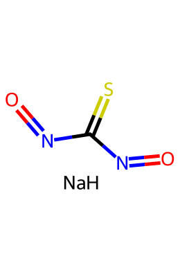 O=NC(=S)N=O.[NaH]